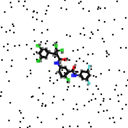 O=C(Nc1cc(F)cc(F)c1)c1cc(NC(=O)C2C(c3cc(Cl)cc(Cl)c3)C2(Cl)Cl)ccc1Cl